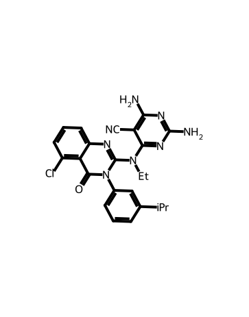 CCN(c1nc(N)nc(N)c1C#N)c1nc2cccc(Cl)c2c(=O)n1-c1cccc(C(C)C)c1